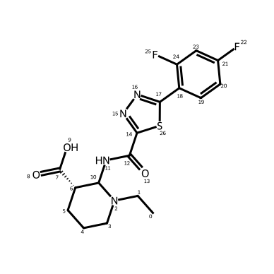 CCN1CCC[C@H](C(=O)O)C1NC(=O)c1nnc(-c2ccc(F)cc2F)s1